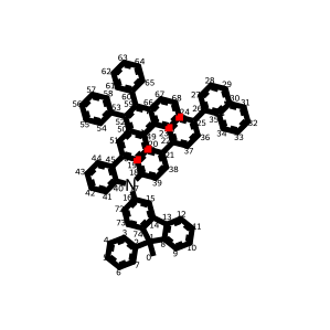 CC1(c2ccccc2)c2ccccc2-c2cc(N(c3ccc(-c4ccc(-c5cccc6ccccc56)cc4)cc3)c3ccccc3-c3ccc4c(c3)c(-c3ccccc3)c(-c3ccccc3)c3ccccc34)ccc21